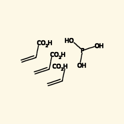 C=CC(=O)O.C=CC(=O)O.C=CC(=O)O.OP(O)O